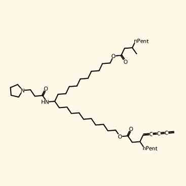 C=C=C=C=CC(CCCCC)CC(=O)OCCCCCCCCCCC(CCCCCCCCCCOC(=O)CC(C)CCCCC)NC(=O)CCN1CCCC1